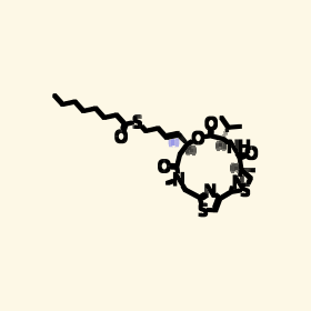 CCCCCCCC(=O)SCC/C=C/[C@@H]1CC(=O)N(C)Cc2nc(cs2)C2=N[C@@](C)(CS2)C(=O)N[C@@H](C(C)C)C(=O)O1